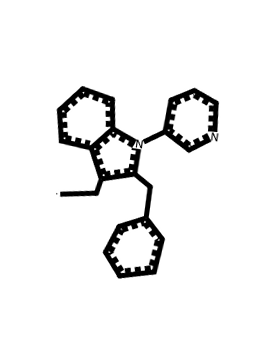 [CH2]Cc1c(Cc2ccccc2)n(-c2cccnc2)c2ccccc12